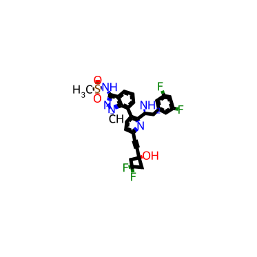 Cn1nc(NS(C)(=O)=O)c2cccc(-c3ccc(C#CC4(O)CC(F)(F)C4)nc3[C@@H](N)Cc3cc(F)cc(F)c3)c21